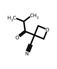 CC(C)C(=O)C1(C#N)COC1